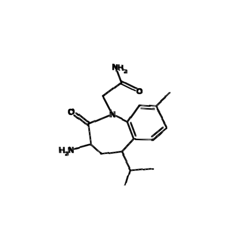 Cc1ccc2c(c1)N(CC(N)=O)C(=O)C(N)CC2C(C)C